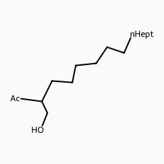 CCCCCCCCCCCCCC(CO)C(C)=O